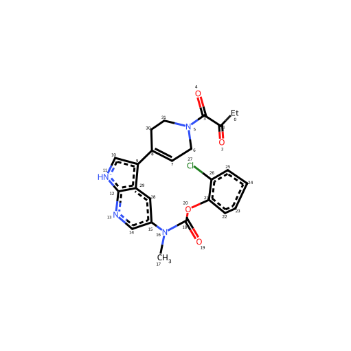 CCC(=O)C(=O)N1CC=C(c2c[nH]c3ncc(N(C)C(=O)Oc4ccccc4Cl)cc23)CC1